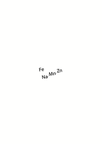 [Fe].[Mn].[Na].[Zn]